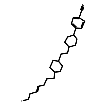 N#Cc1ccc(C2CCC(CCC3CCC(CCC/C=C/CCF)CC3)CC2)cc1